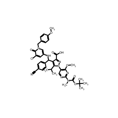 COc1ccc(Cn2cc(NC(c3ccc(C#N)cc3)c3c(C(=O)O)nn(-c4cnc(N(C)C(=O)OC(C)(C)C)nc4OC)c3C(C)C)cc(Cl)c2=O)cc1